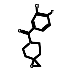 O=C(c1ccc(F)c(Cl)c1)N1CCC2(CC1)CO2